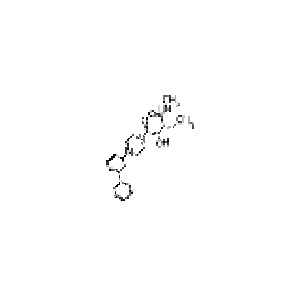 CC[C@@H](C(=O)NC)[C@@H](O)C(=O)N1CCN(C2C=CC=C(c3ccccc3)C2)CC1